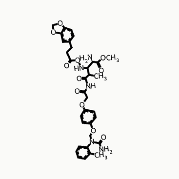 COC(=O)[C@@H](N)C(NOC(=O)CCc1ccc2c(c1)OCO2)C(C)C(=O)NC(=O)COc1ccc(OCN(C(N)=O)c2ccccc2C)cc1